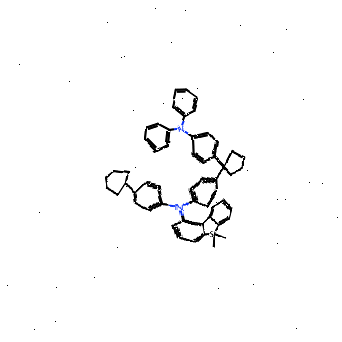 C[Si]1(C)c2ccccc2-c2c(N(c3ccc(C4CCCCC4)cc3)c3ccc(C4(c5ccc(N(c6ccccc6)c6ccccc6)cc5)CCCC4)cc3)cccc21